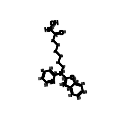 O=C(CCCCCCN(c1ccccn1)c1nc2ccccc2o1)NO